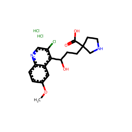 COc1ccc2ncc(Cl)c(C(O)CCC3(C(=O)O)CCNC3)c2c1.Cl.Cl